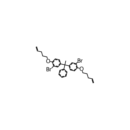 C=CCCCOc1ccc(C(C)(c2ccccc2)c2ccc(OCCCC=C)c(Br)c2)cc1Br